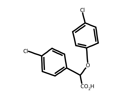 O=C(O)C(Oc1ccc(Cl)cc1)c1ccc(Cl)cc1